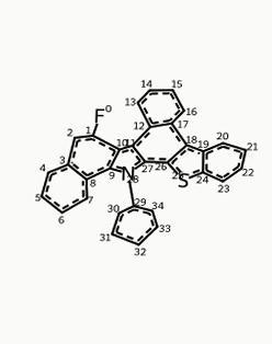 Fc1cc2ccccc2c2c1c1c3ccccc3c3c4ccccc4sc3c1n2-c1ccccc1